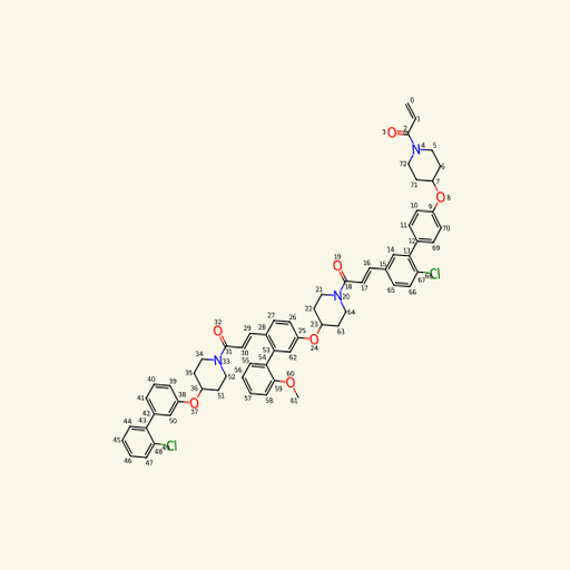 C=CC(=O)N1CCC(Oc2ccc(-c3cc(/C=C/C(=O)N4CCC(Oc5ccc(/C=C/C(=O)N6CCC(Oc7cccc(-c8ccccc8Cl)c7)CC6)c(-c6ccccc6OC)c5)CC4)ccc3Cl)cc2)CC1